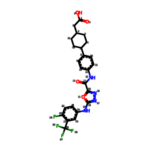 O=C(O)CC1CCC(c2ccc(NC(=O)c3nnc(Nc4ccc(F)c(C(F)(F)F)c4)o3)cc2)CC1